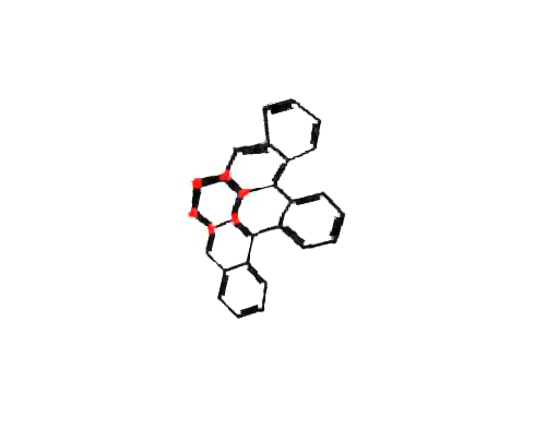 c1ccc(-c2c3ccccc3cc3ccccc23)c(-c2c3ccccc3cc3ccccc23)c1